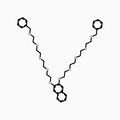 c1ccc(COCCOCCOCCOCCOc2cc3ccccc3cc2OCCOCCOCCOCCOCc2ccccc2)cc1